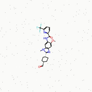 COc1cc2nc([C@H]3CC[C@H](C=O)CC3)n(C)c2cc1NC(=O)c1cccc(C(F)(F)F)n1